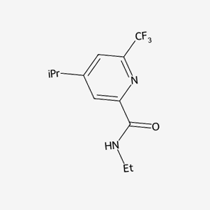 CCNC(=O)c1cc(C(C)C)cc(C(F)(F)F)n1